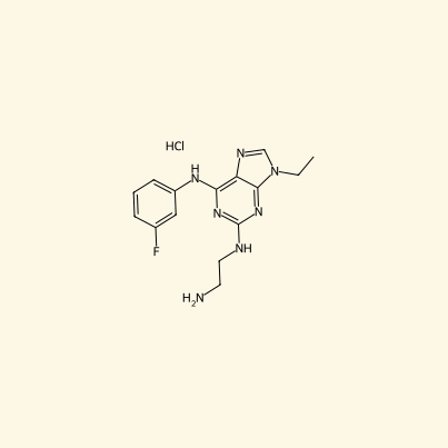 CCn1cnc2c(Nc3cccc(F)c3)nc(NCCN)nc21.Cl